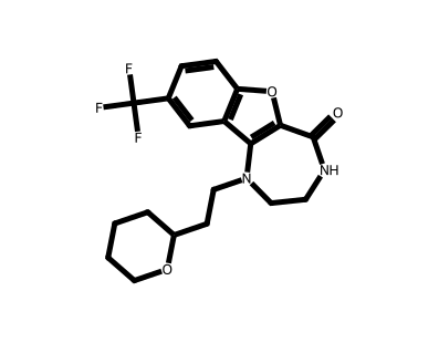 O=C1NCCN(CCC2CCCCO2)c2c1oc1ccc(C(F)(F)F)cc21